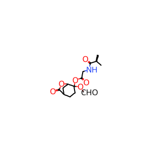 C=C(C)C(=O)NCC(=O)OC1(OC=O)CCC2CC1OC2=O